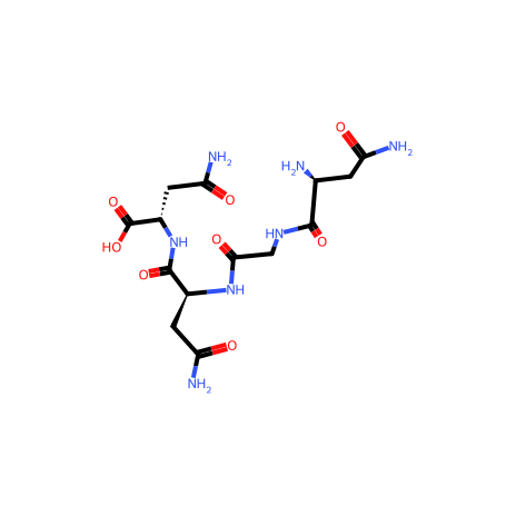 NC(=O)C[C@H](NC(=O)[C@H](CC(N)=O)NC(=O)CNC(=O)[C@@H](N)CC(N)=O)C(=O)O